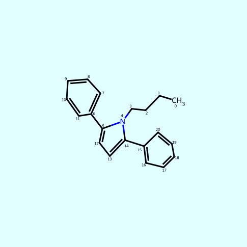 CCCCn1c(-c2ccccc2)ccc1-c1ccccc1